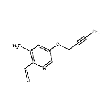 CC#CCOc1cnc(C=O)c(C)c1